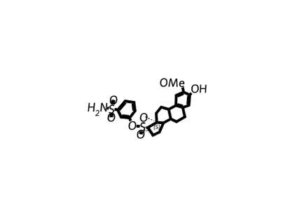 COc1cc2c(cc1O)CCC1C2CC[C@@]2(C)C1CC[C@@H]2S(=O)(=O)Oc1cccc(S(N)(=O)=O)c1